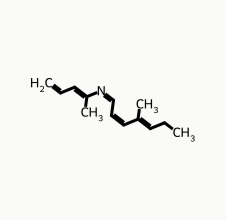 C=C/C=C(C)/N=C\C=C/C(C)=C/CC